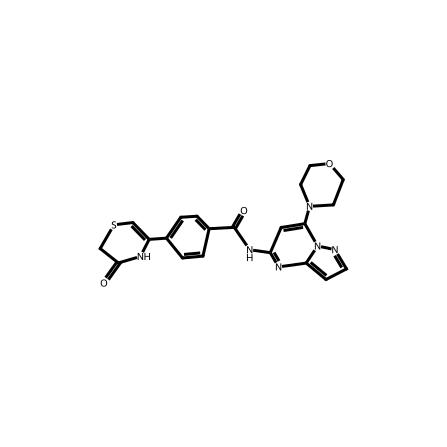 O=C1CSC=C(c2ccc(C(=O)Nc3cc(N4CCOCC4)n4nccc4n3)cc2)N1